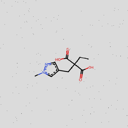 CCC(Cc1cnn(C)c1)(C(=O)O)C(=O)O